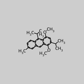 COc1c(C(C)C)cc(OC)c2c(C(C)C)c3ccc(C)cc3cc12